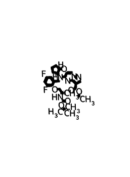 CCOC(=O)c1cnn2cc3c(nc12)N(Cc1cc(F)cc(F)c1OC[C@@H](C)NC(=O)OC(C)(C)C)[C@@H]1CCC[C@@H]1O3